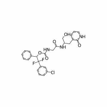 O=C(CNC(=O)OC(c1ccccc1)C(F)(F)c1cccc(Cl)c1)NC(CO)Cc1ccc[nH]c1=O